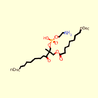 CCCCCCCCCCCCCCCCCC(=O)OCC(C)(COP(=O)(O)OCCN)C(=O)CCCCCCCCCCCCCCCCC